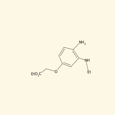 CCNc1cc(OCC(=O)OCC)ccc1N